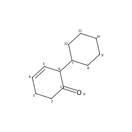 O=C1CCC=CC1C1CCCCC1